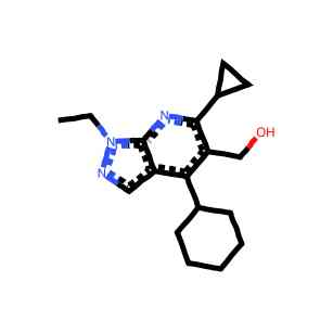 CCn1ncc2c(C3CCCCC3)c(CO)c(C3CC3)nc21